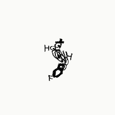 CC(C)(C)OC[C@H](NS(=O)(=O)c1cc2cc(F)ccc2o1)C(=O)O